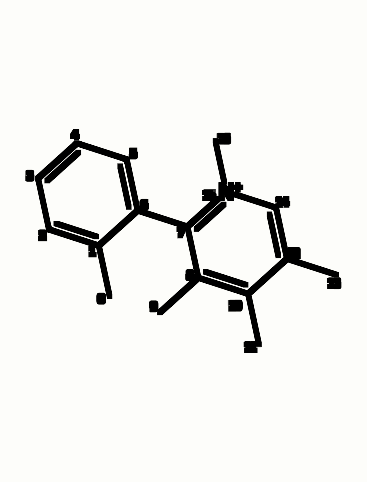 Cc1ccccc1-c1c(C)c(C)c(C)c[n+]1C